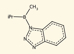 CB(C(C)C)n1nnc2ccccc21